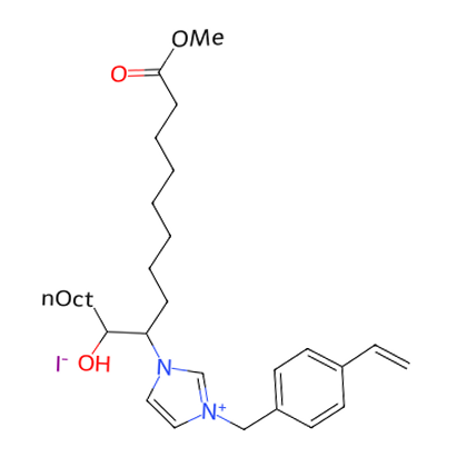 C=Cc1ccc(C[n+]2ccn(C(CCCCCCCC(=O)OC)C(O)CCCCCCCC)c2)cc1.[I-]